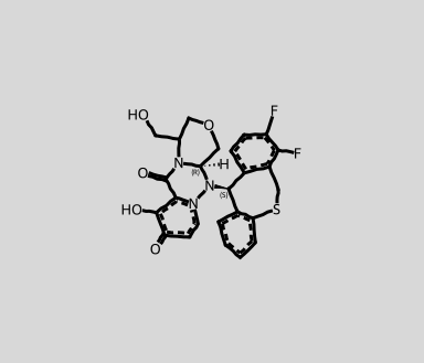 O=C1c2c(O)c(=O)ccn2N([C@@H]2c3ccccc3SCc3c2ccc(F)c3F)[C@@H]2COCC(CO)N12